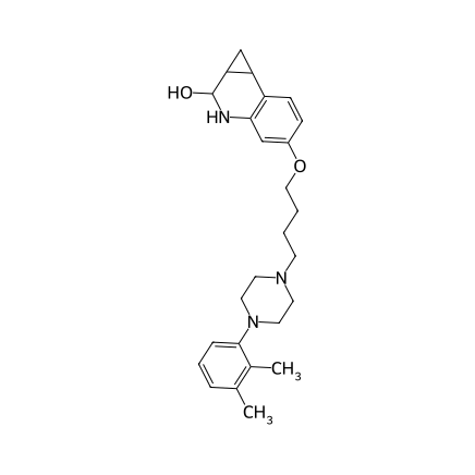 Cc1cccc(N2CCN(CCCCOc3ccc4c(c3)NC(O)C3CC43)CC2)c1C